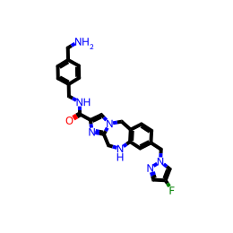 NCc1ccc(CNC(=O)c2cn3c(n2)CNc2cc(Cn4cc(F)cn4)ccc2C3)cc1